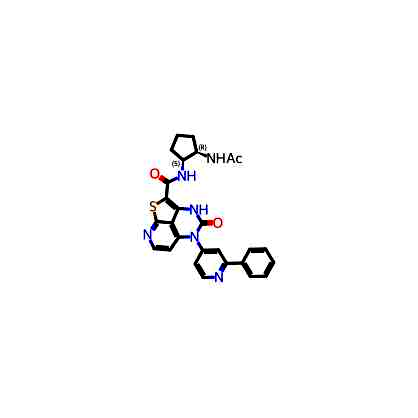 CC(=O)N[C@@H]1CCC[C@@H]1NC(=O)c1sc2nccc3c2c1NC(=O)N3c1ccnc(-c2ccccc2)c1